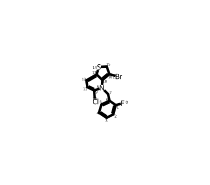 Fc1ccccc1CN1C(Cl)=CC=C2SCC(Br)=C21